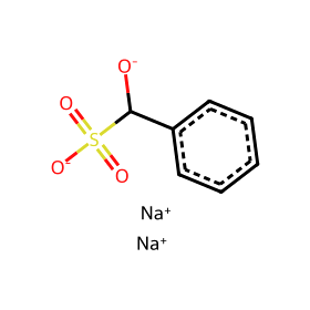 O=S(=O)([O-])C([O-])c1ccccc1.[Na+].[Na+]